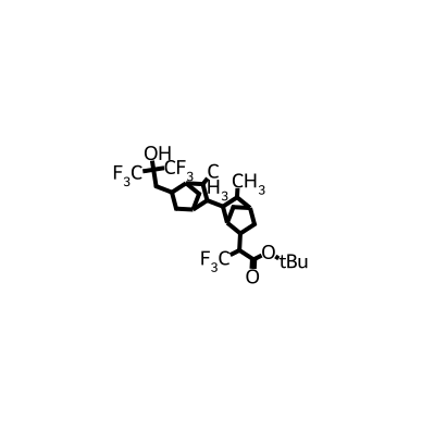 CC1C2CC(CC2CC(O)(C(F)(F)F)C(F)(F)F)C1C1C(C)C2CC1C(C(C(=O)OC(C)(C)C)C(F)(F)F)C2